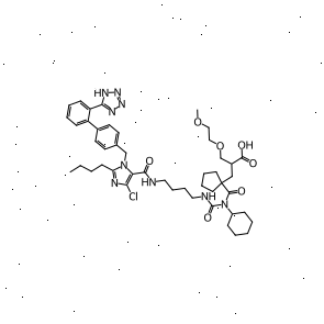 CCCCc1nc(Cl)c(C(=O)NCCCCNC(=O)N(C(=O)C2(CC(COCCOC)C(=O)O)CCCC2)C2CCCCC2)n1Cc1ccc(-c2ccccc2-c2nnn[nH]2)cc1